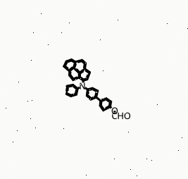 O=COc1ccc(-c2ccc(N(c3ccccc3)c3ccc4ccc5cccc6ccc3c4c56)cc2)cc1